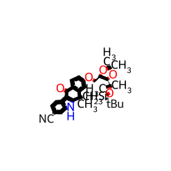 CC1(C)O[C@H](COc2ccc3c(c2)C(C)(C)c2[nH]c4cc(C#N)ccc4c2C3=O)[C@@H](C(C)(C)O[SiH2]C(C)(C)C)O1